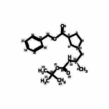 C[C@@H](CN1CCC(C(=O)OCc2ccccc2)C1)NC(=O)OC(C)(C)C